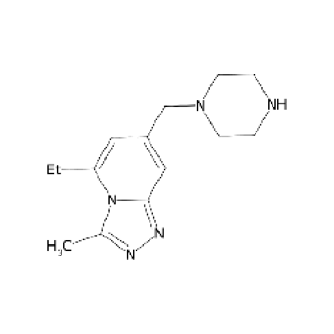 CCc1cc(CN2CCNCC2)cc2nnc(C)n12